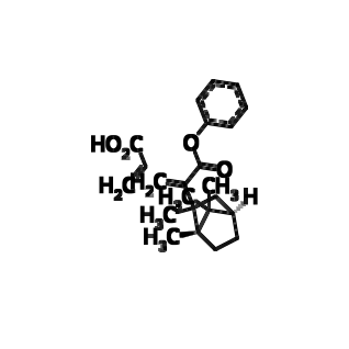 C=C(C(=O)Oc1ccccc1)C1(C)C[C@H]2CC[C@@]1(C)C2(C)C.C=CC(=O)O